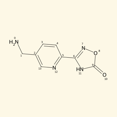 NCc1ccc(-c2noc(=O)[nH]2)nc1